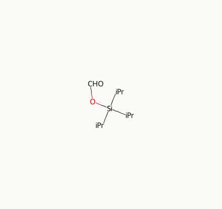 CC(C)[Si](OC=O)(C(C)C)C(C)C